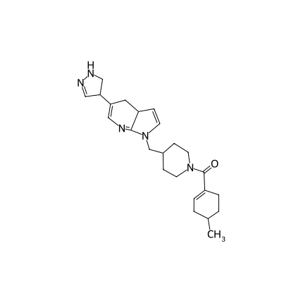 CC1CC=C(C(=O)N2CCC(CN3C=CC4CC(C5C=NNC5)=CN=C43)CC2)CC1